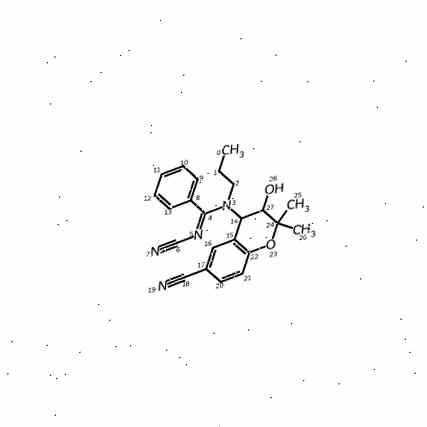 CCCN(C(=NC#N)c1ccccc1)C1c2cc(C#N)ccc2OC(C)(C)C1O